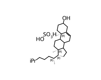 CC(C)CCC[C@@H](C)[C@H]1CCC2C3CC=C4CC(O)CC[C@]4(C)C3CC[C@@]21C.O=S(=O)(O)O